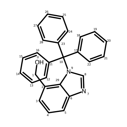 OCc1cccc2ncn(C(c3ccccc3)(c3ccccc3)c3ccccc3)c12